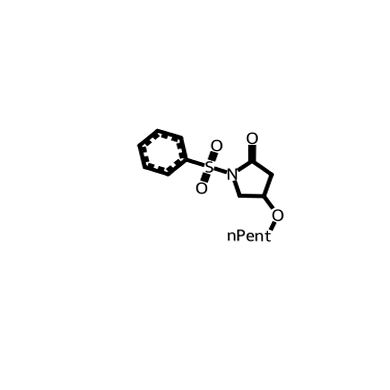 CCCCCOC1CC(=O)N(S(=O)(=O)c2ccccc2)C1